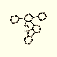 Nc1c(-c2ccccc2)ccc(-c2ccccc2)c1-c1cccc2c1[nH]c1ccccc12